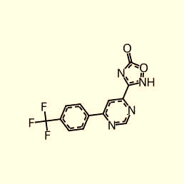 O=c1nc(-c2cc(-c3ccc(C(F)(F)F)cc3)ncn2)[nH]o1